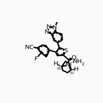 Cn1nnc2cc(-c3sc(C(=O)N4[C@@H]5CC[C@H]4[C@@H](N)C5)cc3-c3ccc(C#N)c(F)c3)ccc21